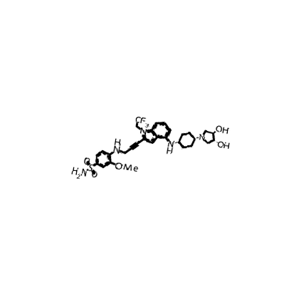 COc1cc(S(N)(=O)=O)ccc1NCC#Cc1cc2c(N[C@H]3CC[C@@H](N4C[C@@H](O)[C@H](O)C4)CC3)cccc2n1CC(F)(F)F